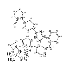 CC(C)(C)N(C(=O)O)C1(c2ccc(-c3c(-c4ccc(N5CCCCC5=O)cc4)nc4n3-c3cccnc3Nc3ccccc3-4)cc2)CCC1